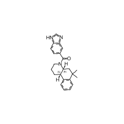 CC1(C)C[C@@H]2[C@@H](CCCN2C(=O)c2ccc3[nH]cnc3c2)c2ccccc21